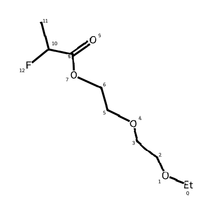 [CH2]COCCOCCOC(=O)C(C)F